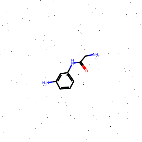 NCC(=O)Nc1cccc(N)c1